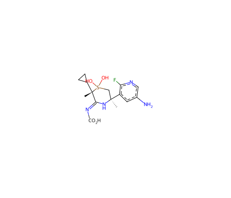 C[C@@]1(c2cc(N)cnc2F)CS(O)(O)[C@@](C)(C2CC2)C(=NC(=O)O)N1